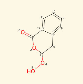 O=C1OC(OO)Cc2ccccc21